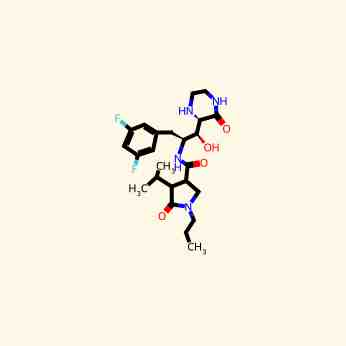 CCCN1CC(C(=O)N[C@@H](Cc2cc(F)cc(F)c2)[C@H](O)[C@@H]2NCCNC2=O)C(C(C)C)C1=O